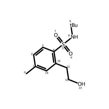 Cc1ccc(S(=O)(=O)NC(C)(C)C)c(CCO)c1